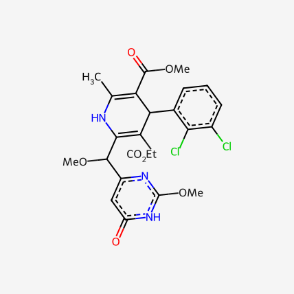 CCOC(=O)C1=C(C(OC)c2cc(=O)[nH]c(OC)n2)NC(C)=C(C(=O)OC)C1c1cccc(Cl)c1Cl